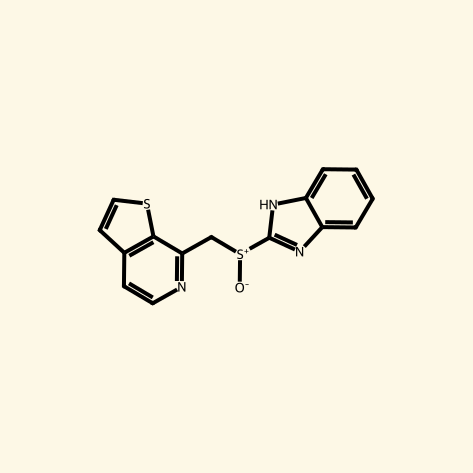 [O-][S+](Cc1nccc2ccsc12)c1nc2ccccc2[nH]1